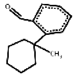 CC1(c2ccccc2C=O)CCCCC1